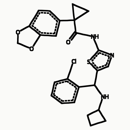 O=C(Nc1ncc(C(NC2CCC2)c2ccccc2Cl)s1)C1(c2ccc3c(c2)OCO3)CC1